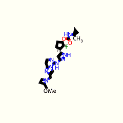 COCC1CCN1Cc1cn2c(Nc3cc([C@@H]4CC[C@H](OC(=O)NC5(C)CC5)[C@@H]4F)[nH]n3)nccc2n1